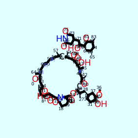 CO[C@H]1C[C@@H]2CC[C@@H](C)[C@@](O)(O2)C(=O)C(=O)N2CCCC[C@H]2C(=O)O[C@H]([C@H](C)C[C@@H]2CC[C@@H](O)[C@H](OC)C2)CC(=O)[C@H](C)/C=C(\C)[C@@H](O)[C@@H](OC)C(=O)[C@H](C)C[C@H](C)/C=C/C=C/C=C/1C.C[C@@H]1C[C@@H]([C@H](O)CC2CC(=O)NC(=O)C2)C(=O)[C@@H](C)C1